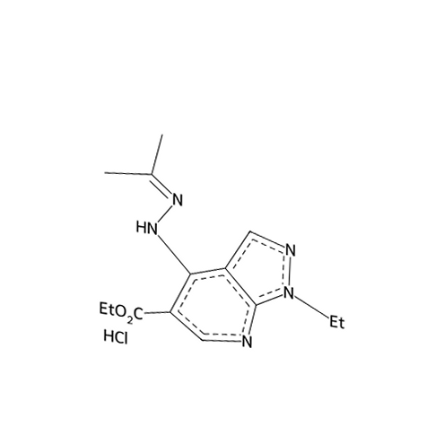 CCOC(=O)c1cnc2c(cnn2CC)c1NN=C(C)C.Cl